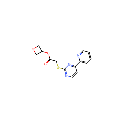 O=C(CSc1nccc(-c2ccccn2)n1)OC1COC1